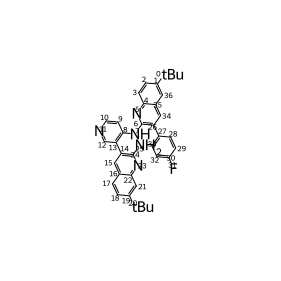 CC(C)(C)c1ccc2nc(Nc3ccncc3-c3cc4ccc(C(C)(C)C)cc4nc3N)c(-c3ccc(F)cc3)cc2c1